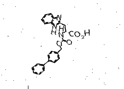 O=C(N[C@H](Cc1nc2ccccc2[nH]1)C(=O)O)OCc1ccc(-c2ccccc2)cc1